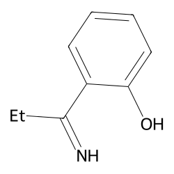 CCC(=N)c1ccccc1O